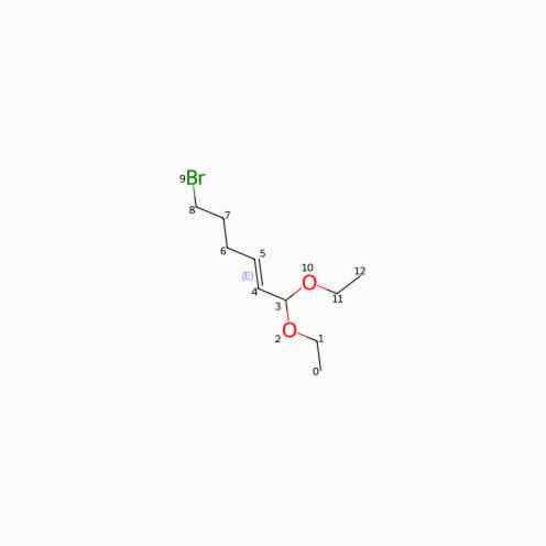 CCOC(/C=C/CCCBr)OCC